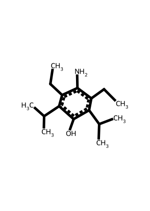 CCc1c(N)c(CC)c(C(C)C)c(O)c1C(C)C